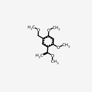 C=C(OC)c1cc(COC)c(OC)cc1OC